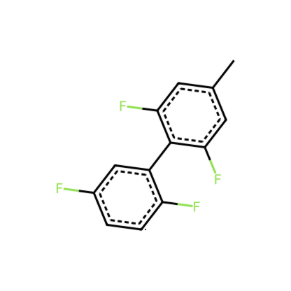 Cc1cc(F)c(-c2cc(F)c[c]c2F)c(F)c1